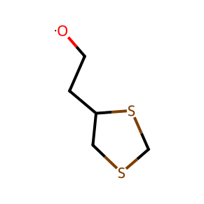 [O]CCC1CSCS1